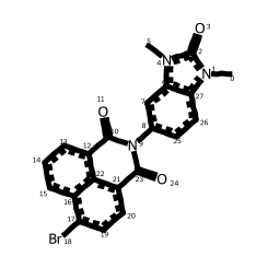 Cn1c(=O)n(C)c2cc(N3C(=O)c4cccc5c(Br)ccc(c45)C3=O)ccc21